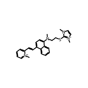 CN(CCSc1n(C)cc[n+]1C)c1ccc(/C=C/c2cccc[n+]2C)c2ccccc12